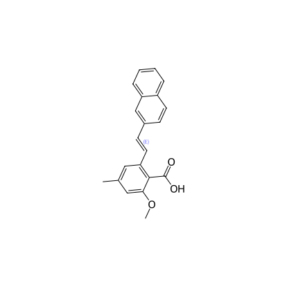 COc1cc(C)cc(/C=C/c2ccc3ccccc3c2)c1C(=O)O